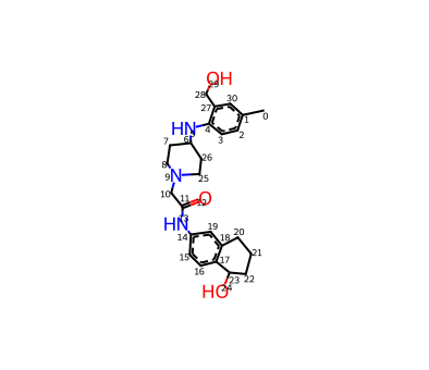 Cc1ccc(NC2CCN(CC(=O)Nc3ccc4c(c3)CCCC4O)CC2)c(CO)c1